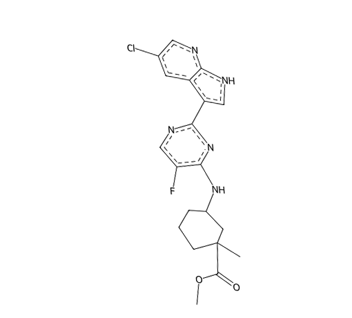 COC(=O)C1(C)CCCC(Nc2nc(-c3c[nH]c4ncc(Cl)cc34)ncc2F)C1